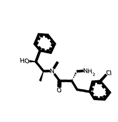 C[C@@H]([C@@H](O)c1ccccc1)N(C)C(=O)[C@H](CN)Cc1cccc(Cl)c1